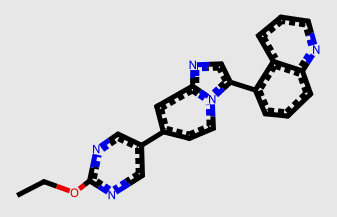 CCOc1ncc(-c2ccn3c(-c4cccc5ncccc45)cnc3c2)cn1